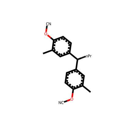 CCCC(c1ccc(OC#N)c(C)c1)c1ccc(OC#N)c(C)c1